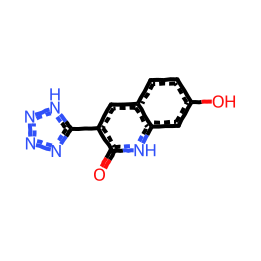 O=c1[nH]c2cc(O)ccc2cc1-c1nnn[nH]1